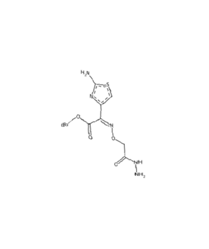 CC(C)(C)OC(=O)C(=NOCC(=O)NN)c1csc(N)n1